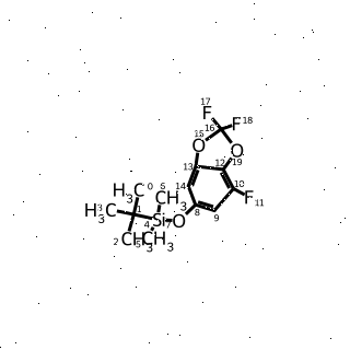 CC(C)(C)[Si](C)(C)Oc1cc(F)c2c(c1)OC(F)(F)O2